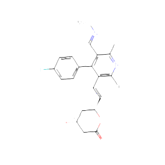 CON=Cc1c(C(C)C)nc(C(C)C)c(/C=C/[C@@H]2C[C@@H](O)CC(=O)O2)c1-c1ccc(F)cc1